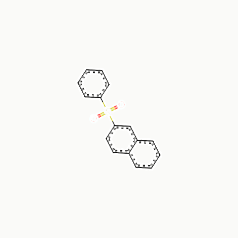 O=S(=O)(c1ccccc1)c1ccc2ccccc2c1